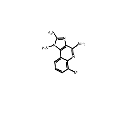 CCc1cccc2c1nc(N)c1nc(N)n(C)c12